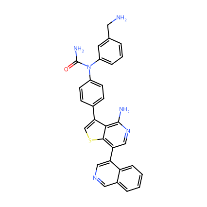 NCc1cccc(N(C(N)=O)c2ccc(-c3csc4c(-c5cncc6ccccc56)cnc(N)c34)cc2)c1